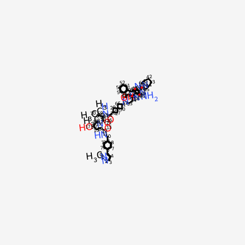 Cn1nccc1-c1ccc(CNC(=O)[C@@H]2C[C@@H](O)CN2C(=O)[C@@H](NC(=O)C2CC3(C2)CC(N2CCC(c4cnc(N5C6CCC5CN(c5cc(-c7ccccc7O)nnc5N)C6)nc4)CC2)C3)C(C)(C)C)cc1